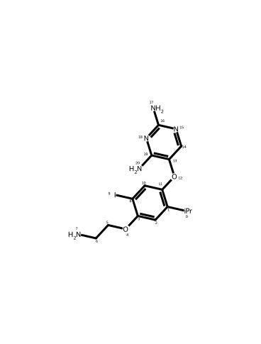 CC(C)c1cc(OCCN)c(I)cc1Oc1cnc(N)nc1N